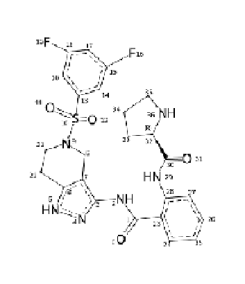 O=C(Nc1n[nH]c2c1CN(S(=O)(=O)c1cc(F)cc(F)c1)CC2)c1ccccc1NC(=O)[C@H]1CCCN1